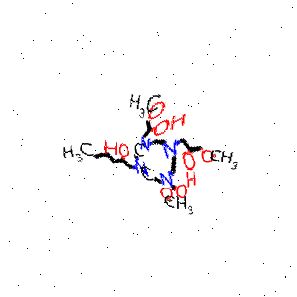 CCCCC(O)CN1CCN(CC(O)COC)CCN(CC(O)COC)CCN(C(=O)OC)CC1